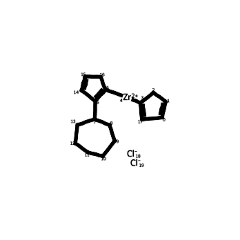 C1=CC[C]([Zr+2][C]2=C(C3CCCCCC3)C=CC2)=C1.[Cl-].[Cl-]